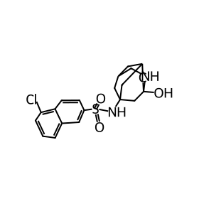 O=S(=O)(NC12CC3CNC(O)(CC(C3)C1)C2)c1ccc2c(Cl)cccc2c1